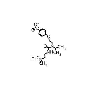 CC(C)N(CCOc1ccc([N+](=O)[O-])cc1)C(=O)NCCN(C)C